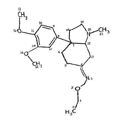 CCON=C1CCC2(c3ccc(OC)c(OC)c3)CCN(C)C2C1